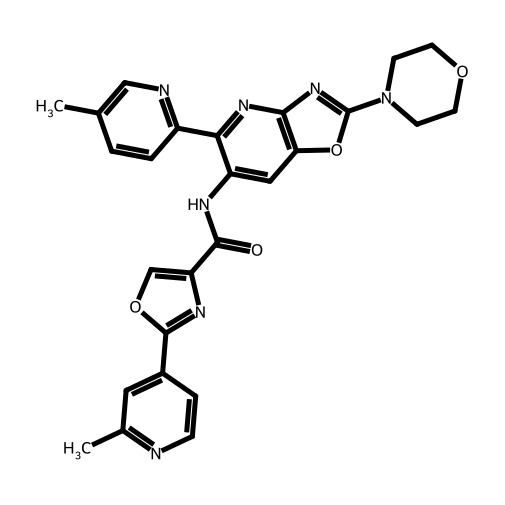 Cc1ccc(-c2nc3nc(N4CCOCC4)oc3cc2NC(=O)c2coc(-c3ccnc(C)c3)n2)nc1